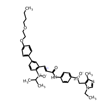 CCCCOCCOc1ccc(-c2ccc([S+]([O-])C(C)C)c(/C=C/C(=O)Nc3ccc([S@@+]([O-])Cc4c(C)ncn4CC)cc3)c2)cc1